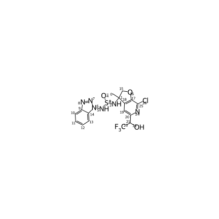 CC1(N[S+]([O-])Nn2nnc3ccccc32)COc2c1cc(C(O)C(F)(F)F)nc2Cl